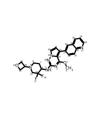 COc1nc(NC2CCN(C3COC3)CC2(F)F)nn2ccc(-c3ccc4ncccc4c3)c12